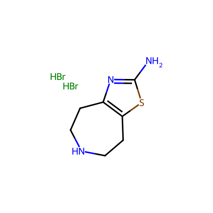 Br.Br.Nc1nc2c(s1)CCNCC2